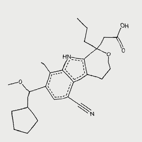 CCCC1(CC(=O)O)OCCc2c1[nH]c1c(C)c(C(OC)C3CCCC3)cc(C#N)c21